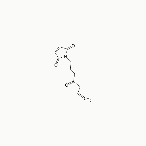 C=CCC(=O)CCCN1C(=O)C=CC1=O